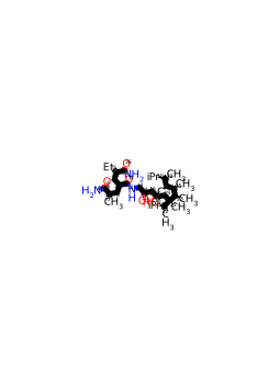 CCC(CC(CC(C)C(N)=O)C(=O)NCC(O)CC(O)C[C@@](C)([C@H](C)[C@H](C)[C@H](C)[C@H](C)C(C)C)[C@@H](C)C(C)C)C(N)=O